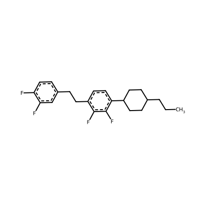 CCCC1CCC(c2ccc(CCc3ccc(F)c(F)c3)c(F)c2F)CC1